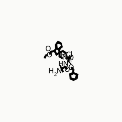 CCOC(=O)C1CC2(CCN(C(=O)[C@@H](COCc3ccccc3)NC(=O)C(C)(C)N)CC2)c2ccccc21.Cl